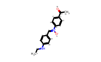 CCNc1ccc(C=[N+]([O-])c2ccc(C(C)=O)cc2)cc1